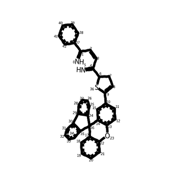 N=C(/C=C\C(=N)C1CC=C(c2ccc3c(c2)C2(c4ccccc4O3)c3ccccc3-c3ccccc32)S1)c1ccccc1